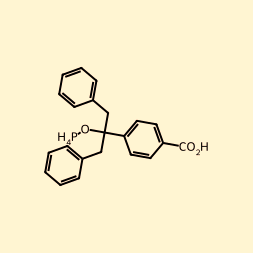 O=C(O)c1ccc(C(Cc2ccccc2)(Cc2ccccc2)O[PH4])cc1